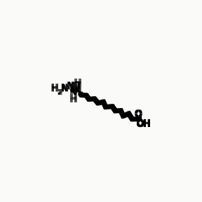 NNNNCCCCCCCCCCCCCC(=O)O